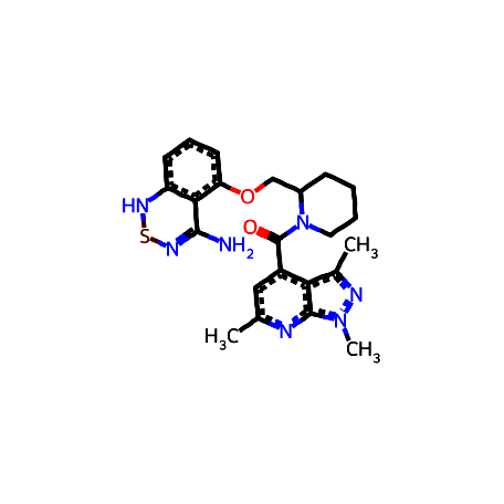 Cc1cc(C(=O)N2CCCCC2COc2cccc3c2C(N)=NSN3)c2c(C)nn(C)c2n1